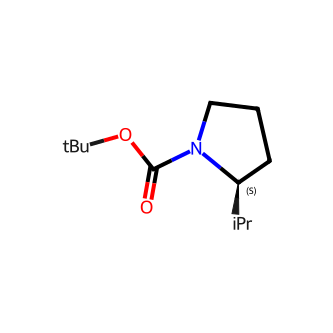 CC(C)[C@@H]1CCCN1C(=O)OC(C)(C)C